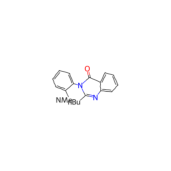 CCCCc1nc2ccccc2c(=O)n1-c1ccccc1NC